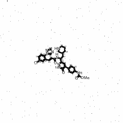 COC(=O)Nc1ccc(-c2cc(C(CC3CCCNC3)NC(=O)C=Cc3cc(Cl)ccc3-n3cnnn3)n[nH]c2=O)cc1